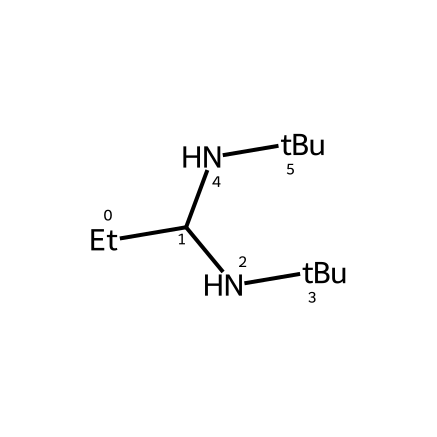 CCC(NC(C)(C)C)NC(C)(C)C